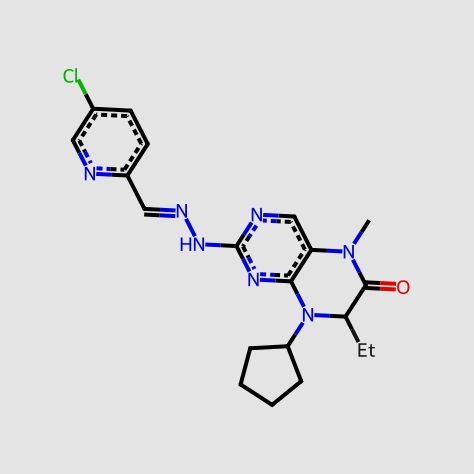 CCC1C(=O)N(C)c2cnc(NN=Cc3ccc(Cl)cn3)nc2N1C1CCCC1